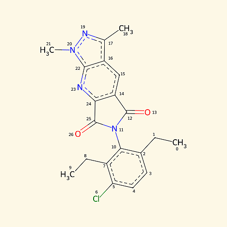 CCc1ccc(Cl)c(CC)c1N1C(=O)c2cc3c(C)nn(C)c3nc2C1=O